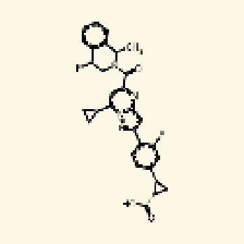 C[C@@H]1c2ccccc2C(F)CN1C(=O)c1cc(C2CC2)n2nc(-c3ccc([C@H]4C[C@@H]4C(=O)O)cc3F)cc2n1